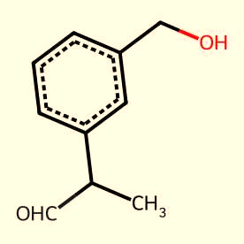 CC(C=O)c1cccc(CO)c1